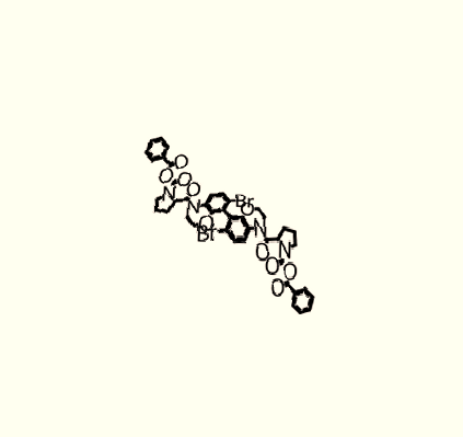 O=C(OC(=O)N1CCCC1C(=O)N1CCOc2c1ccc(Br)c2-c1c(Br)ccc2c1OCCN2C(=O)C1CCCN1C(=O)OC(=O)c1ccccc1)c1ccccc1